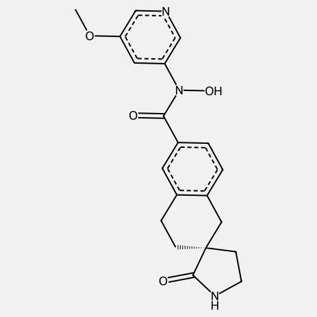 COc1cncc(N(O)C(=O)c2ccc3c(c2)CC[C@@]2(CCNC2=O)C3)c1